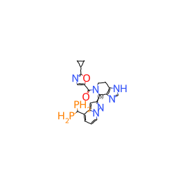 O=C(c1cnc(C2CC2)o1)N1CCc2[nH]cnc2[C@H]1c1cc2c(C(P)P)cccn2n1